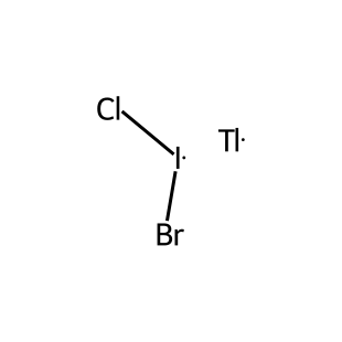 Cl[I]Br.[Tl]